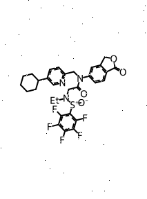 CCN(CC(=O)N(Cc1ccc(C2CCCCC2)cn1)c1ccc2c(c1)COC2=O)[S+]([O-])c1c(F)c(F)c(F)c(F)c1F